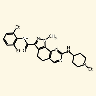 CCc1cccc(CC)c1NC(=O)c1nn(C)c2c1CCc1cnc(NC3CCN(CC)CC3)nc1-2